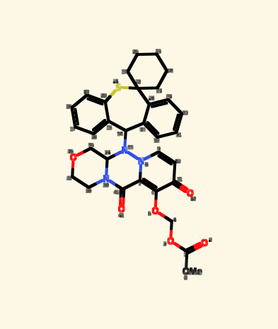 COC(=O)OCOc1c2n(ccc1=O)N(C1c3ccccc3SC3(CCCCC3)c3ccccc31)C1COCCN1C2=O